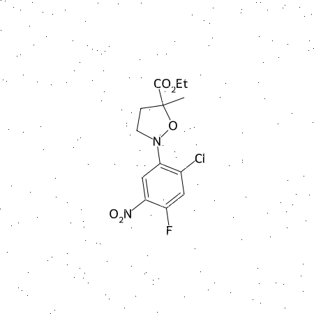 CCOC(=O)C1(C)CCN(c2cc([N+](=O)[O-])c(F)cc2Cl)O1